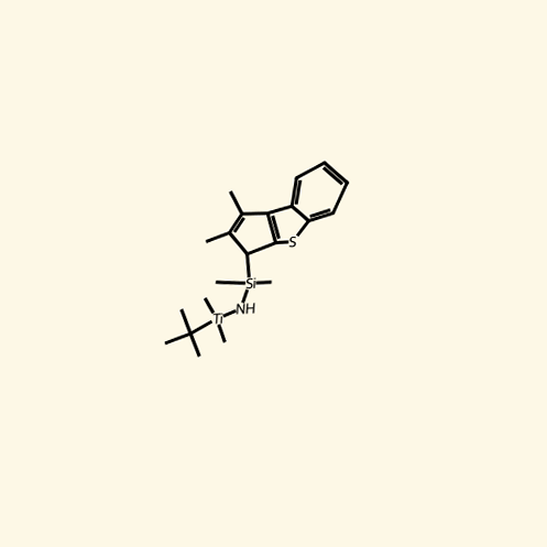 CC1=C(C)C([Si](C)(C)[NH][Ti]([CH3])([CH3])[C](C)(C)C)c2sc3ccccc3c21